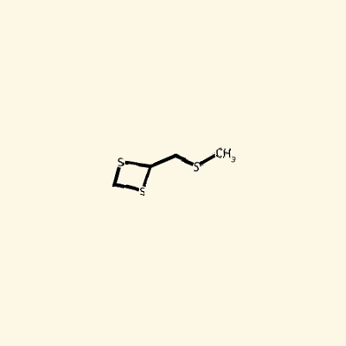 CSCC1SCS1